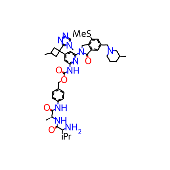 CSc1cc(CN2CCC[C@H](C)C2)cc2c1CN(c1cc(C3(c4nncn4C)CC(C)C3)cc(NC(=O)OCc3ccc(NC(=O)[C@H](C)NC(=O)[C@@H](N)C(C)C)cc3)n1)C2=O